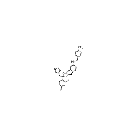 OC(Cn1cncn1)(Cn1cc2ccc(NCc3ccc(C(F)(F)F)cc3)cc2n1)c1ccc(F)cc1F